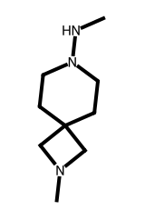 CNN1CCC2(CC1)CN(C)C2